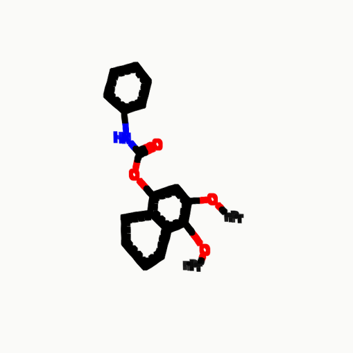 CCCOc1cc(OC(=O)Nc2ccccc2)c2ccccc2c1OCCC